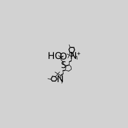 CCN1/C(=C/C=C2\CCCC(/C=C/C3=[N+](CC)c4ccc(C)cc4C3(C)C)=C2SCCC(=O)O)C(C)(C)c2cc(C)ccc21